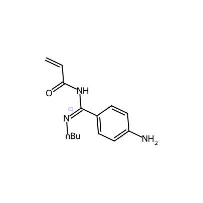 C=CC(=O)N/C(=N/CCCC)c1ccc(N)cc1